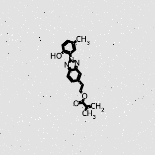 C=C(C)C(=O)OCCc1ccc2nn(-c3cc(C)ccc3O)nc2c1